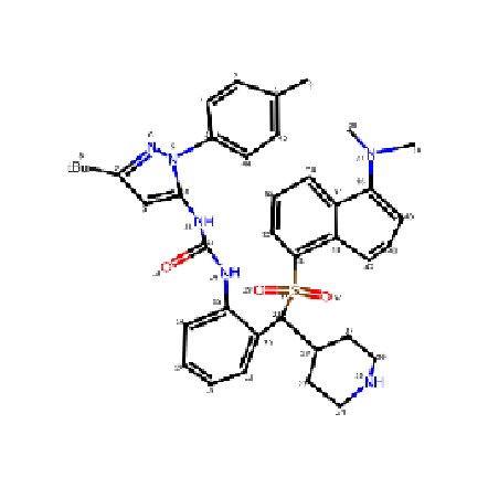 Cc1ccc(-n2nc(C(C)(C)C)cc2NC(=O)Nc2ccccc2C(C2CCNCC2)S(=O)(=O)c2cccc3c(N(C)C)cccc23)cc1